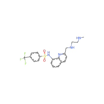 CNCCNCc1ccc2cccc(NS(=O)(=O)c3ccc(C(F)(F)F)cc3)c2n1